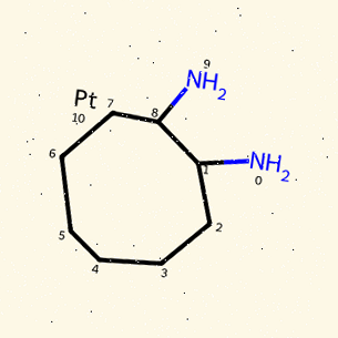 NC1CCCCCCC1N.[Pt]